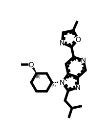 CO[C@@H]1CCC[C@@H](n2c(CC(C)C)nc3cnc(-c4ncc(C)o4)cc32)C1